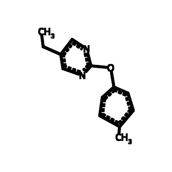 CCc1cnc(Oc2ccc(C)cc2)nc1